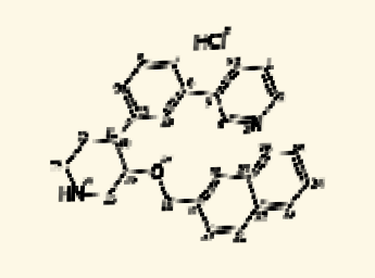 Cl.c1cncc(-c2cccc([C@H]3CCNCC3OCc3ccc4ccccc4c3)c2)c1